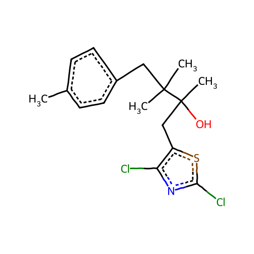 Cc1ccc(CC(C)(C)C(C)(O)Cc2sc(Cl)nc2Cl)cc1